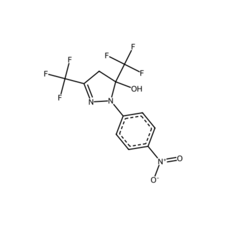 O=[N+]([O-])c1ccc(N2N=C(C(F)(F)F)CC2(O)C(F)(F)F)cc1